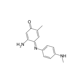 CNc1ccc(N=C2C=C(C)C(=O)C=C2N)cc1